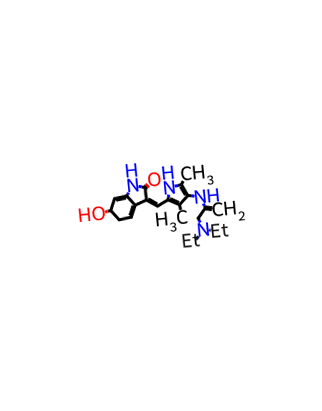 C=C(CN(CC)CC)Nc1c(C)[nH]c(/C=C2\C(=O)NC3=CC(O)CC=C32)c1C